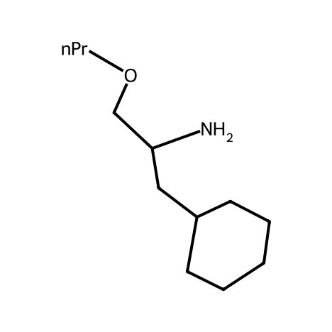 CCCOCC(N)CC1CCCCC1